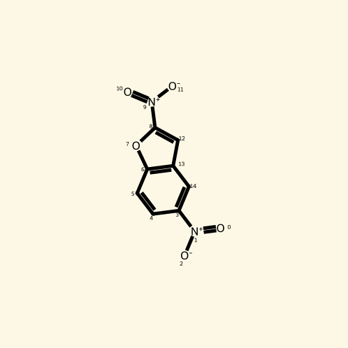 O=[N+]([O-])c1ccc2oc([N+](=O)[O-])cc2c1